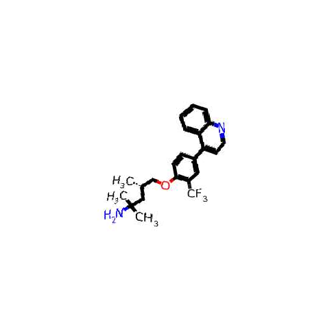 C[C@H](COc1ccc(-c2ccnc3ccccc23)cc1C(F)(F)F)CC(C)(C)N